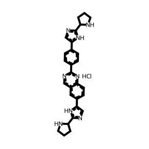 Cl.c1cc(-c2cnc(C3CCCN3)[nH]2)ccc1-c1ncc2cc(-c3cnc(C4CCCN4)[nH]3)ccc2n1